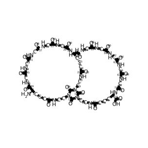 N[C@H]1CSCC(=O)NCCn2c(=O)n3c(=O)n(c2=O)CCNC(=O)CSC[C@H](NC(=O)CNC(=O)CNC(=O)CNC(=O)CNC(=O)CNC1=O)C(=O)NCC(=O)NCC(=O)NCC(=O)NCC(=O)NCC(=O)N[C@H](C(=O)O)CCCC(=O)NCC3